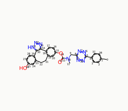 Cc1ccc(-c2nnc(CN(C)C(=O)Oc3ccc4c(c3)CCc3cc(O)ccc3-c3[nH]nnc3-4)nn2)cc1